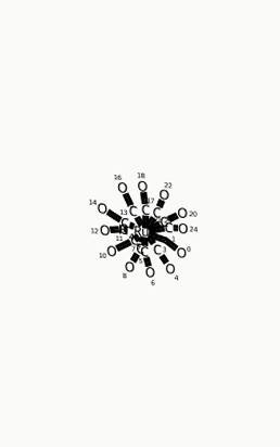 O=[C]=[RuH4](=[C]=O)(=[C]=O)(=[C]=O)(=[C]=O)(=[C]=O)(=[C]=O)(=[C]=O)(=[C]=O)(=[C]=O)(=[C]=O)=[C]=O